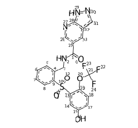 O=C(NCc1ccccc1S(=O)(=O)c1cc(O)ccc1OC(F)(F)F)c1cnc2[nH]ncc2c1